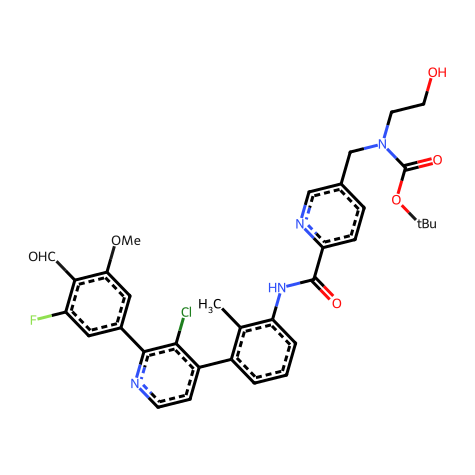 COc1cc(-c2nccc(-c3cccc(NC(=O)c4ccc(CN(CCO)C(=O)OC(C)(C)C)cn4)c3C)c2Cl)cc(F)c1C=O